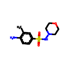 Cc1cc(S(=O)(=O)NN2CCOCC2)ccc1N